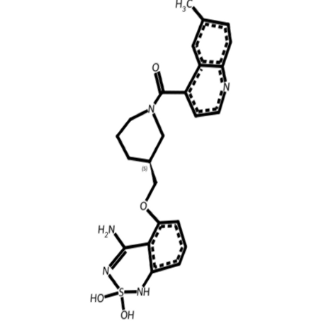 Cc1ccc2nccc(C(=O)N3CCC[C@H](COc4cccc5c4C(N)=NS(O)(O)N5)C3)c2c1